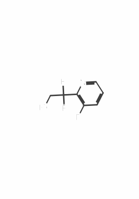 OCC(F)(F)c1ncc[c]c1F